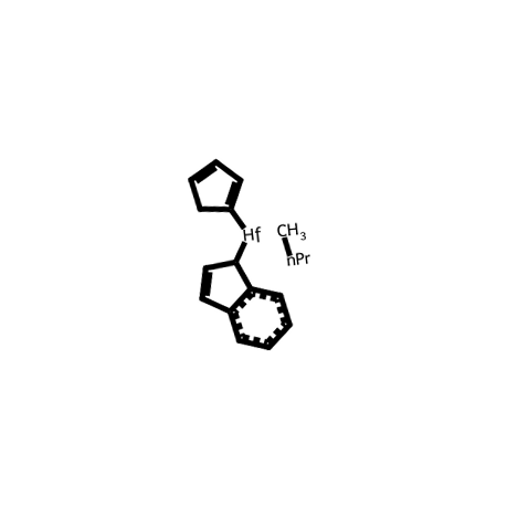 C1=CC[C]([Hf][CH]2C=Cc3ccccc32)=C1.CCCC